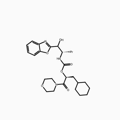 CCC[C@H](NC(=O)O[C@@H](CC1CCCCC1)C(=O)N1CCOCC1)C(O)c1nc2ccccc2o1